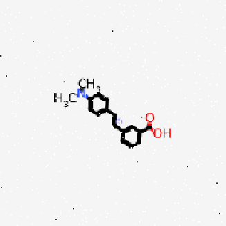 CN(C)c1ccc(/C=C/c2cccc(C(=O)O)c2)cc1